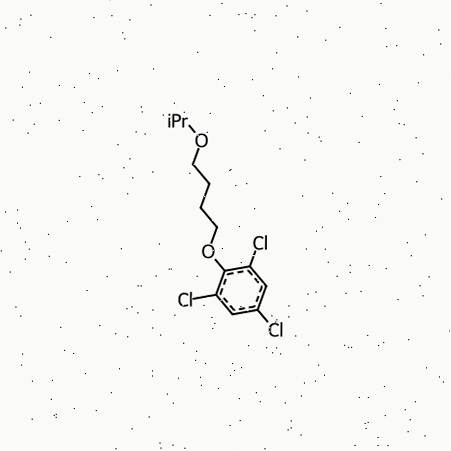 CC(C)OCCCCOc1c(Cl)cc(Cl)cc1Cl